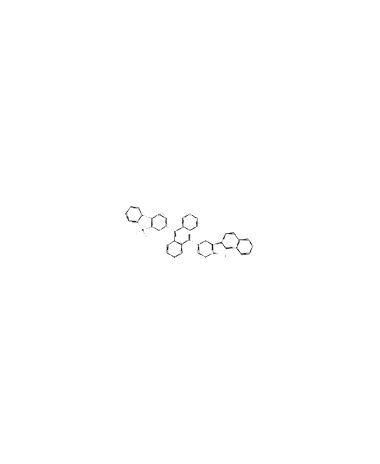 CC1(C)c2ccccc2-c2ccc(-c3c4ccccc4c(-c4ccc5oc6c7ccccc7ccc6c5c4)c4ccccc34)cc21